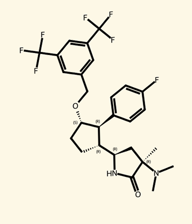 CN(C)[C@]1(C)C[C@H]([C@@H]2CC[C@H](OCc3cc(C(F)(F)F)cc(C(F)(F)F)c3)[C@H]2c2ccc(F)cc2)NC1=O